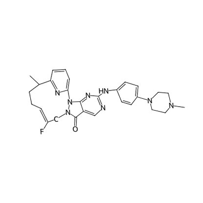 CC1CC/C=C(\F)Cn2c(=O)c3cnc(Nc4ccc(N5CCN(C)CC5)cc4)nc3n2-c2cccc1n2